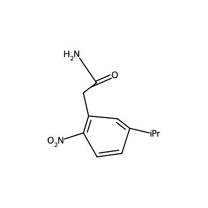 CC(C)c1ccc([N+](=O)[O-])c(CC(N)=O)c1